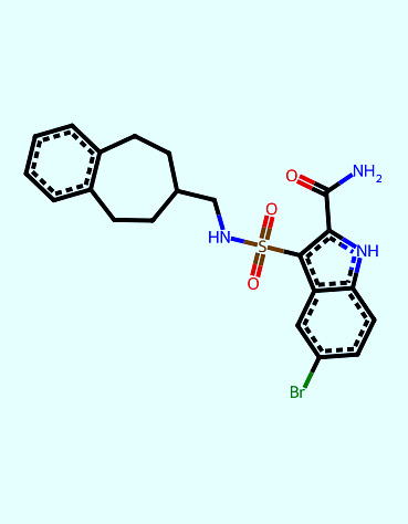 NC(=O)c1[nH]c2ccc(Br)cc2c1S(=O)(=O)NCC1CCc2ccccc2CC1